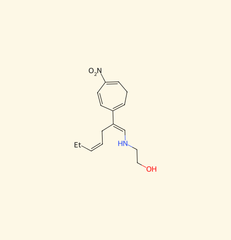 CC/C=C\C/C(=C\NCCO)C1=CCC=C([N+](=O)[O-])C=C1